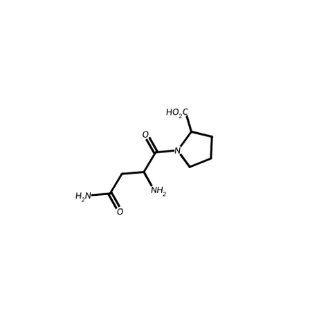 NC(=O)CC(N)C(=O)N1CCCC1C(=O)O